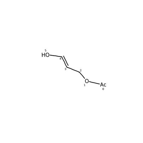 CC(=O)OCC=CO